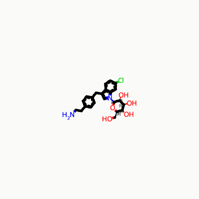 NCCc1ccc(Cc2cn([C@@H]3O[C@H](CO)[C@@H](O)[C@H](O)[C@H]3O)c3cc(Cl)ccc23)cc1